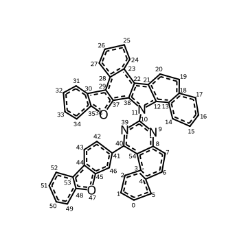 c1ccc2c(c1)ccc1nc(-n3c4c5ccccc5ccc4c4c5ccccc5c5c6ccccc6oc5c43)nc(-c3ccc4c(c3)oc3ccccc34)c12